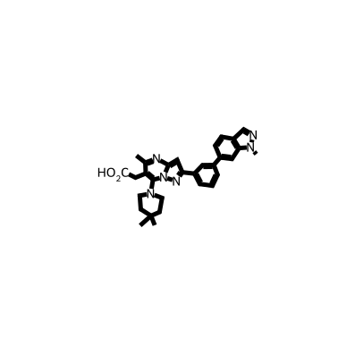 Cc1nc2cc(-c3cccc(-c4ccc5cnn(C)c5c4)c3)nn2c(N2CCC(C)(C)CC2)c1CC(=O)O